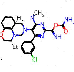 C=Nc1nc(C(=N)OC(N)=O)nc(-c2cccc(Cl)c2)c1N1C[C@@H]2CCCC3=C2N(C1)[C@H](CC)CO3